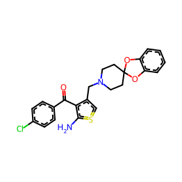 Nc1scc(CN2CCC3(CC2)Oc2ccccc2O3)c1C(=O)c1ccc(Cl)cc1